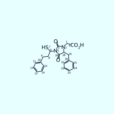 O=C(O)CN1C(=O)N(C(S)CCc2ccccc2)C(=O)C1Cc1ccccc1